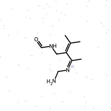 CC(C)=C(CNC=O)/C(C)=N\CN